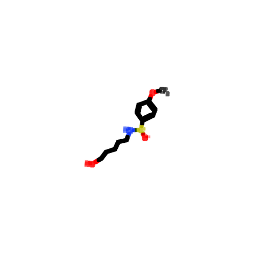 [O-][S+](NCCCCCO)c1ccc(OC(F)(F)F)cc1